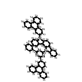 c1ccc(-c2nc(-c3ccc4c5ccccc5c5ccccc5c4c3)nc(-n3c4ccccc4c4ccc5c(c6ccccc6n5-c5ccc6c7ccccc7c7ccccc7c6c5)c43)n2)cc1